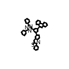 c1ccc(-c2nc(-c3ccccc3)nc(-c3cc(-c4ccc5nc6c(cc5c4)sc4ccccc46)cc(-c4cc5ccccc5c5ccccc45)c3)n2)cc1